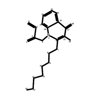 C=CC(=C)CN1C(CCCCCCCC)=C(C)C(=C)c2ccccc21